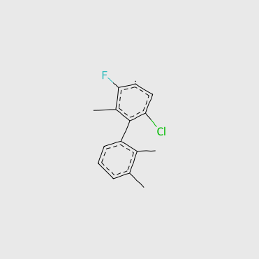 Cc1cccc(-c2c(Cl)c[c]c(F)c2C)c1C